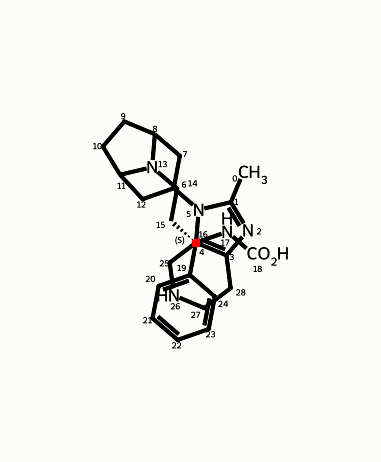 Cc1nc2c(n1C1CC3CCC(C1)N3CC[C@H](NC(=O)O)c1ccccc1)CNCC2